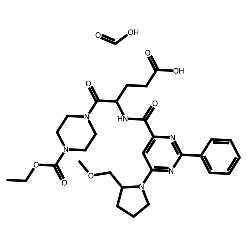 CCOC(=O)N1CCN(C(=O)C(CCC(=O)O)NC(=O)c2cc(N3CCCC3COC)nc(-c3ccccc3)n2)CC1.O=CO